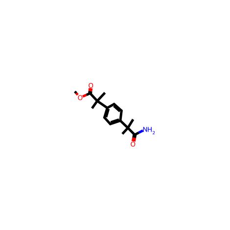 COC(=O)C(C)(C)c1ccc(C(C)(C)C(N)=O)cc1